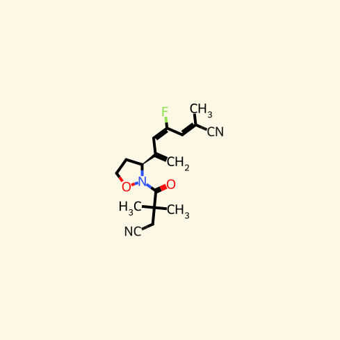 C=C(/C=C(F)\C=C(/C)C#N)[C@@H]1CCON1C(=O)C(C)(C)CC#N